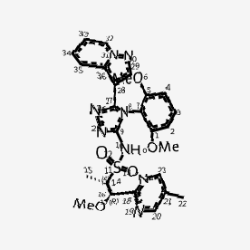 COc1cccc(OC)c1-n1c(NS(=O)(=O)[C@@H](C)[C@H](OC)c2ncc(C)cn2)nnc1-c1cnn2ccccc12